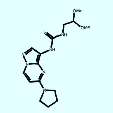 COC(CNC(=S)Nc1cnn2ccc(N3CCCC3)nc12)OC